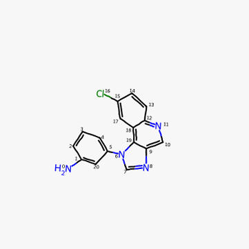 Nc1cccc(-n2cnc3cnc4ccc(Cl)cc4c32)c1